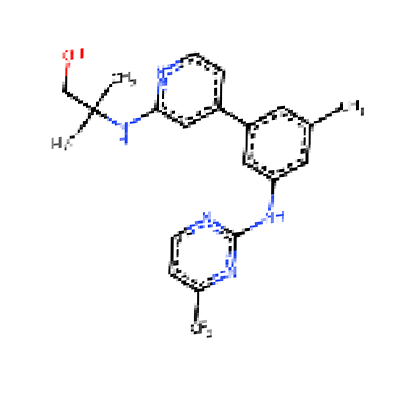 Cc1cc(Nc2nccc(C(F)(F)F)n2)cc(-c2ccnc(NC(C)(C)CO)c2)c1